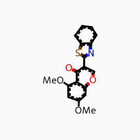 COc1cc(OC)c2c(=O)c(-c3nc4ccccc4s3)coc2c1